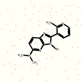 CC(C)n1c(-c2cccnc2N)nc2ccc(N(C)C)nc21